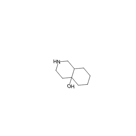 OC12CCCCC1CNCC2